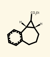 CCOC(=O)C1[C@H]2c3ccccc3CCC[C@@H]12